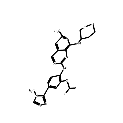 Cc1cc2cnc(Nc3ccc(-c4nncn4C)cc3OC(F)F)nc2c(NC2CCOCC2)n1